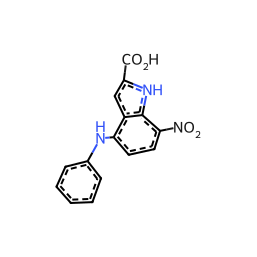 O=C(O)c1cc2c(Nc3ccccc3)ccc([N+](=O)[O-])c2[nH]1